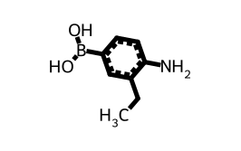 CCc1cc(B(O)O)ccc1N